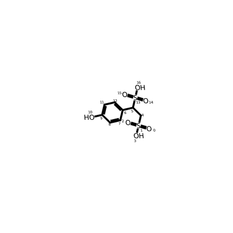 O=S(=O)(O)CC(c1ccc(O)cc1)S(=O)(=O)O